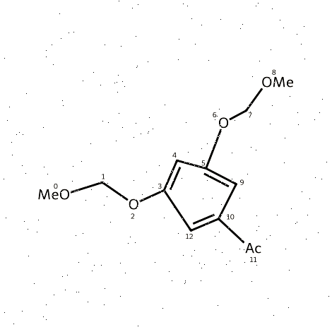 COCOc1cc(OCOC)cc(C(C)=O)c1